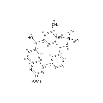 COc1cc(-c2cccc(CO[Si](C(C)C)(C(C)C)C(C)C)c2)c2cc(C(O)c3cccc(C)c3)ccc2n1